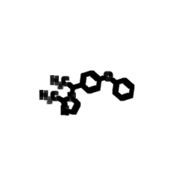 Cc1nccn1C(C)c1ccc(Oc2ccccc2)cc1